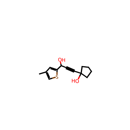 Cc1csc(C(O)C#CC2(O)CCCC2)c1